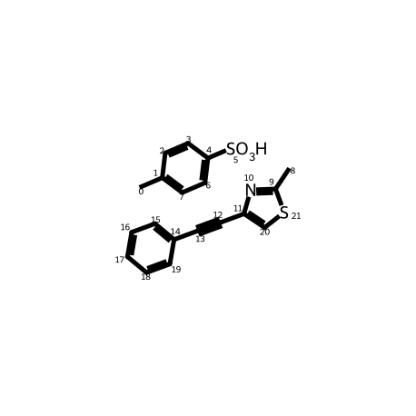 Cc1ccc(S(=O)(=O)O)cc1.Cc1nc(C#Cc2ccccc2)cs1